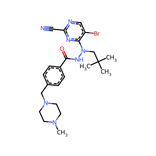 CN1CCN(Cc2ccc(C(=O)NN(CC(C)(C)C)c3nc(C#N)ncc3Br)cc2)CC1